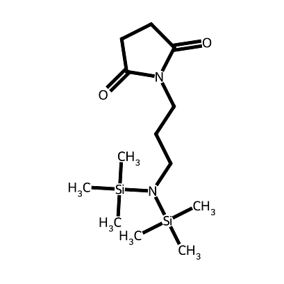 C[Si](C)(C)N(CCCN1C(=O)CCC1=O)[Si](C)(C)C